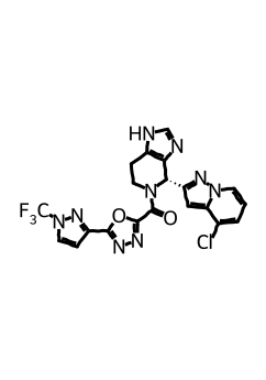 O=C(c1nnc(-c2ccn(C(F)(F)F)n2)o1)N1CCc2[nH]cnc2[C@@H]1c1cc2c(Cl)cccn2n1